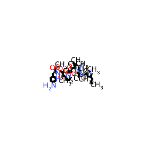 CCCC1CN(C)[C@@](C)(C(=O)N[C@@H](C(C)C)C(O)N(C)[C@@H]([C@@H](C)CC)[C@@H](CC(=O)N2CCCC2[C@H](OC)[C@@H](C)C(=O)N[C@@H](Cc2ccc(N)cc2)C(=O)OC)OC)C1